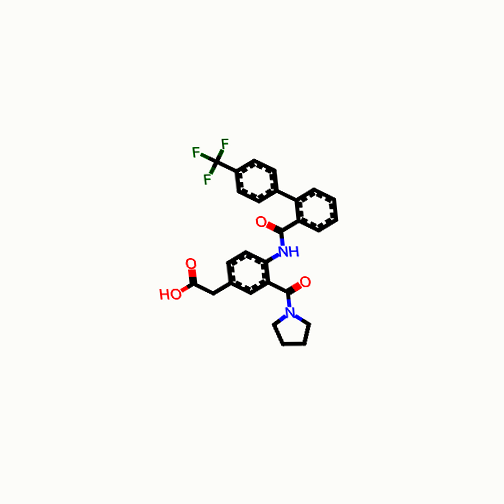 O=C(O)Cc1ccc(NC(=O)c2ccccc2-c2ccc(C(F)(F)F)cc2)c(C(=O)N2CCCC2)c1